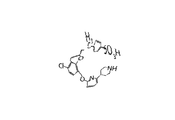 Cc1ccc(S(=O)(=O)O)cc1.Fc1cc2c(Cl)ccc(COc3cccc(C4CCNCC4)n3)c2o1